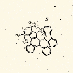 C[Si](C)(C)C1=[C]([Zr+2](=[C](c2ccccc2)c2ccccc2)[CH]2c3ccccc3-c3ccccc32)C([Si](C)(C)C)C([Si](C)(C)C)=C1[Si](C)(C)C.[Cl-].[Cl-]